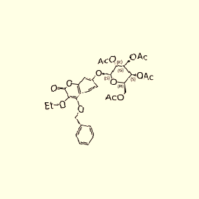 CCOc1c(OCc2ccccc2)c2ccc(O[C@@H]3O[C@H](COC(C)=O)[C@H](OC(C)=O)[C@H](OC(C)=O)[C@H]3OC(C)=O)cc2oc1=O